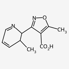 Cc1onc(C2N=CC=CC2C)c1C(=O)O